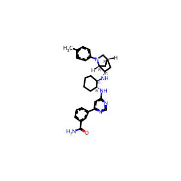 Cc1ccc(N2C[C@@H]3C[C@H](N[C@@H]4CCCC[C@H]4Nc4cc(-c5cccc(C(N)=O)c5)ncn4)[C@H]2C3)cc1